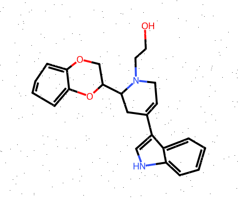 OCCN1CC=C(c2c[nH]c3ccccc23)CC1C1COc2ccccc2O1